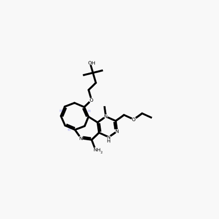 CCOCC1=NNC2=C(/C3=C(\OCCC(C)(C)O)C/C=C\C=C(/C3)N=C2N)N1C